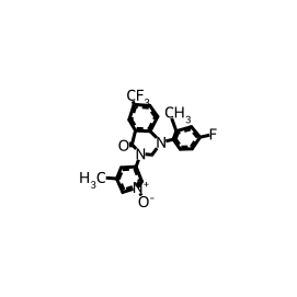 Cc1cc(N2CN(c3ccc(F)cc3C)c3ccc(C(F)(F)F)cc3C2=O)c[n+]([O-])c1